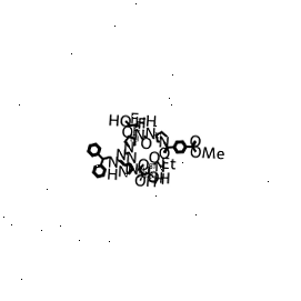 CCNC(=O)[C@H]1O[C@@H](n2cnc3c(NCC(c4ccccc4)c4ccccc4)nc(N4CC[C@@H](NC(=O)N[C@@H]5CCN(C(=O)c6ccc(C(=O)OC)cc6)C5)C4)nc32)[C@H](O)[C@@H]1O.O=C(O)C(F)(F)F